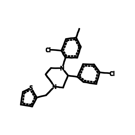 Cc1ccc(N2CCN(Cc3cccs3)CC2c2ccc(Cl)cc2)c(Cl)c1